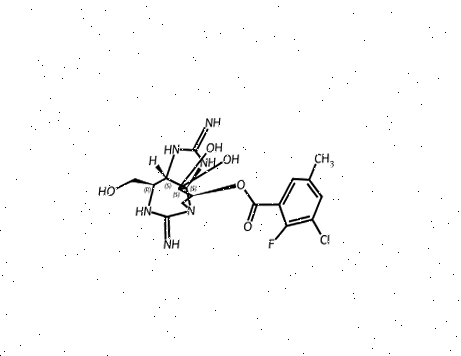 Cc1cc(Cl)c(F)c(C(=O)O[C@H]2CN3C(=N)N[C@@H](CO)[C@@H]4NC(=N)N[C@@]43C2(O)O)c1